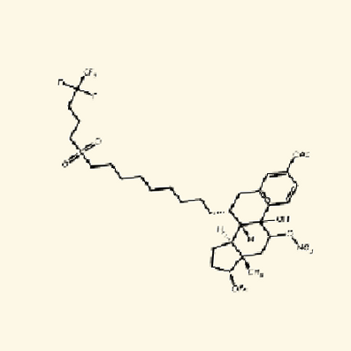 CC(=O)Oc1ccc2c(c1)C[C@@H](CCCCCCCCCS(=O)(=O)CCCC(F)(F)C(F)(F)F)[C@H]1[C@@H]3CC[C@H](OC(C)=O)[C@@]3(C)C[C@H](O[N+](=O)[O-])C21O